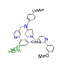 COc1ccc(N(Cc2ccnc(-c3cccc(OC)c3)c2)C2CCN(Cc3ccnc(-c4cccc(OC)c4)c3)CC2)cc1.Cl.Cl.Cl